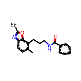 CCc1nc2ccc(C)c(CCCNC(=O)c3ccccc3)c2o1